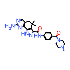 CN1CCN(C(=O)c2ccc(NC(=O)c3n[nH]c4c3C(C)(C)Cc3cnc(N)nc3-4)cc2)CC1